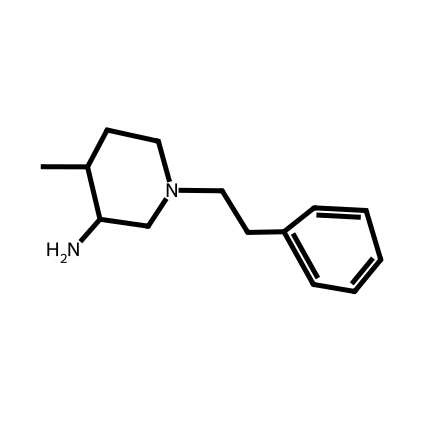 CC1CCN(CCc2ccccc2)CC1N